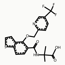 CC(C)(NC(=O)c1ccc2sccc2c1OCc1ccc(C(F)(F)F)cn1)C(=O)O